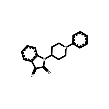 O=C1C(=O)N(C2CCN(c3ccccc3)CC2)c2ccccc21